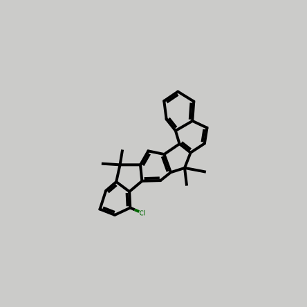 CC1(C)c2cc3c(cc2-c2c(Cl)cccc21)C(C)(C)c1ccc2ccccc2c1-3